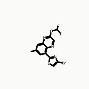 Cc1cc(-c2nc(Br)cs2)c2ncc(OC(F)F)nc2c1